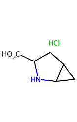 Cl.O=C(O)C1CC2CC2N1